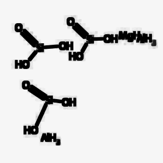 O=[Si](O)O.O=[Si](O)O.O=[Si](O)O.[AlH3].[AlH3].[MgH2]